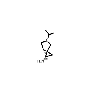 CC(C)N1CC[C@]2(C[C@@H]2N)C1